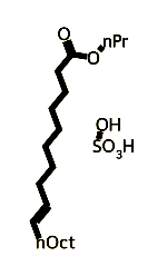 CCCCCCCCC=CCCCCCCCC(=O)OCCC.O=S(=O)(O)O